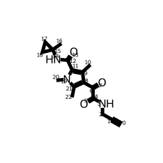 C#CCNC(=O)C(=O)c1c(C)c(C(=O)NC2(C)CC2)n(C)c1C